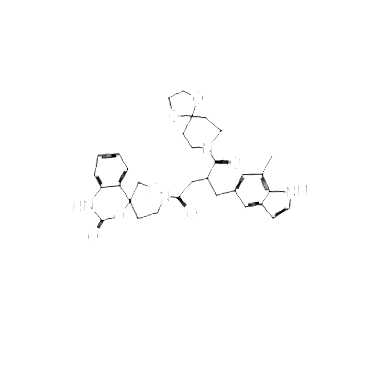 Cc1cc(CC(CC(=O)N2CCC3(CC2)OC(=O)Nc2ccccc23)C(=O)N2CCC3(CC2)OCCO3)cc2cc[nH]c12